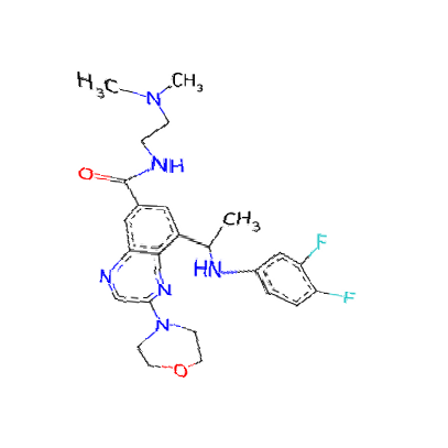 CC(Nc1ccc(F)c(F)c1)c1cc(C(=O)NCCN(C)C)cc2ncc(N3CCOCC3)nc12